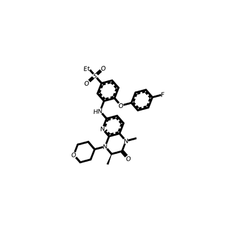 CCS(=O)(=O)c1ccc(Oc2ccc(F)cc2)c(Nc2ccc3c(n2)N(C2CCOCC2)[C@H](C)C(=O)N3C)c1